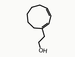 OCCC1=CC=CCCCCC1